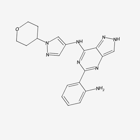 Nc1ccccc1-c1nc(Nc2cnn(C3CCOCC3)c2)c2n[nH]cc2n1